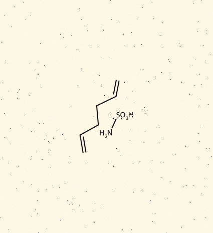 C=CCCC=C.NS(=O)(=O)O